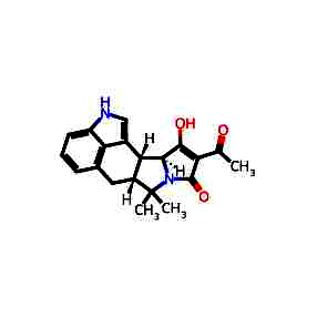 CC(=O)C1=C(O)[C@@H]2[C@H]3c4c[nH]c5cccc(c45)C[C@H]3C(C)(C)N2C1=O